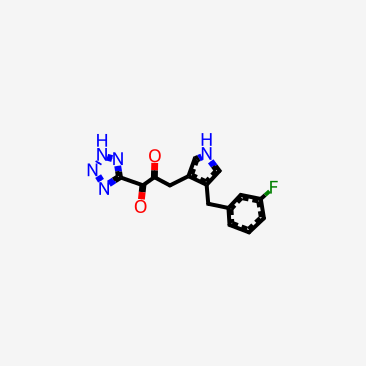 O=C(Cc1c[nH]cc1Cc1cccc(F)c1)C(=O)c1nn[nH]n1